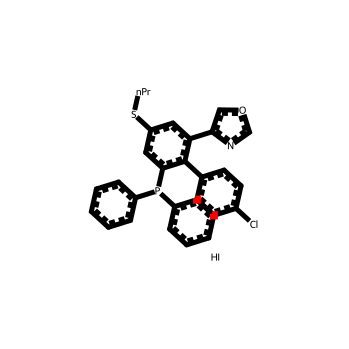 CCCSc1cc(-c2cocn2)c(-c2ccc(Cl)cc2)c(P(c2ccccc2)c2ccccc2)c1.I